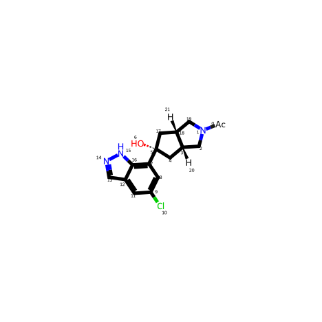 CC(=O)N1C[C@@H]2C[C@@](O)(c3cc(Cl)cc4cn[nH]c34)C[C@@H]2C1